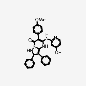 COc1ccc(C2=C(Nc3cc(O)ccn3)NC3=C(c4ccccc4)C(c4ccccc4)NN3C2=O)cc1